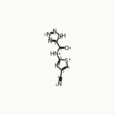 N#Cc1csc(NC(=O)c2nnn[nH]2)n1